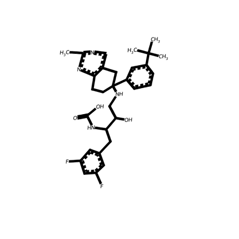 Cc1ncc2c(n1)CCC(NCC(O)C(Cc1cc(F)cc(F)c1)NC(=O)O)(c1cccc(C(C)(C)C)c1)C2